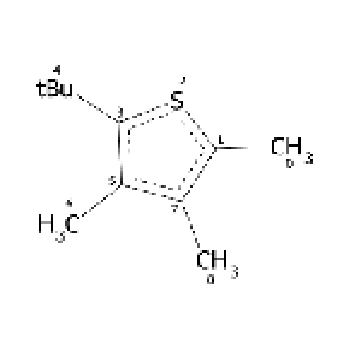 Cc1sc(C(C)(C)C)c(C)c1C